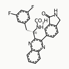 O=C(O)N[C@@H](Cc1cc(F)cc(F)c1)c1nc2ccccc2nc1-c1ccc2c(c1)C(=O)NC2